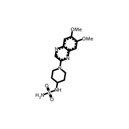 COc1cc2ncc(N3CCC(NS(N)(=O)=O)CC3)nc2cc1OC